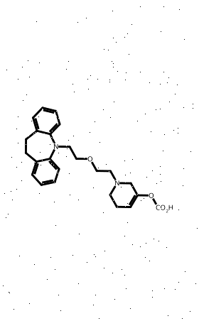 O=C(O)OC1=CCCN(CCOCCN2c3ccccc3CCc3ccccc32)C1